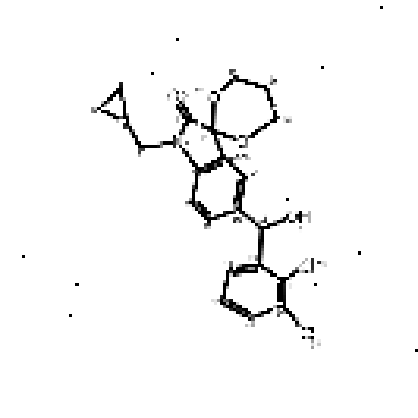 O=C1N(CC2CC2)c2ccc(C(O)c3cccc(Cl)c3Cl)cc2C12OCCCO2